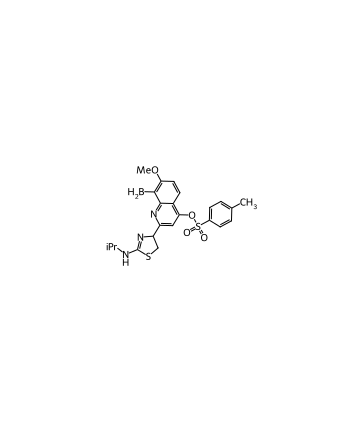 Bc1c(OC)ccc2c(OS(=O)(=O)c3ccc(C)cc3)cc(C3CSC(NC(C)C)=N3)nc12